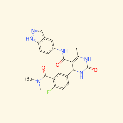 CCC(C)N(C)C(=O)c1cc(C2NC(=O)NC(C)=C2C(=O)Nc2ccc3[nH]ncc3c2)ccc1F